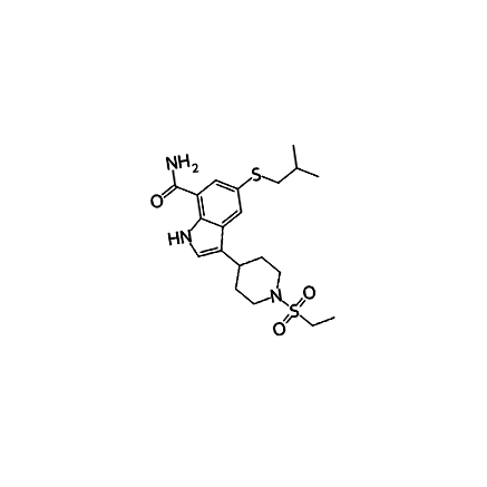 CCS(=O)(=O)N1CCC(c2c[nH]c3c(C(N)=O)cc(SCC(C)C)cc23)CC1